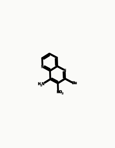 CCC(C)c1nc2cccnc2c(N)c1[N+](=O)[O-]